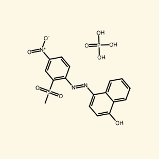 CS(=O)(=O)c1cc([N+](=O)[O-])ccc1N=Nc1ccc(O)c2ccccc12.O=P(O)(O)O